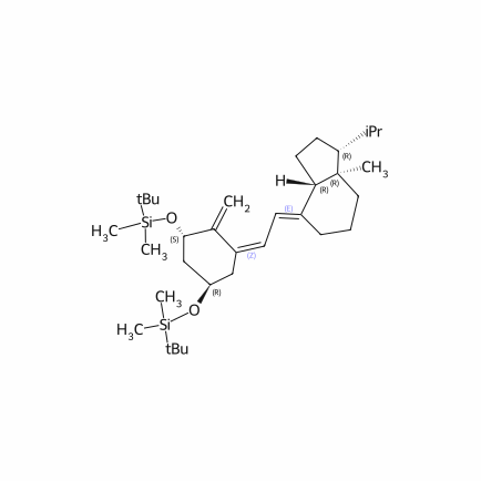 C=C1/C(=C\C=C2/CCC[C@]3(C)[C@@H](C(C)C)CC[C@@H]23)C[C@@H](O[Si](C)(C)C(C)(C)C)C[C@@H]1O[Si](C)(C)C(C)(C)C